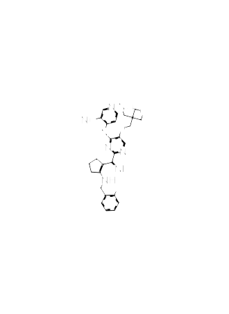 N#Cc1cnccc1Nc1nc(C(=N)C2=C(NCc3ccccc3F)CCC2)ncc1OCC1(CN=O)COC1